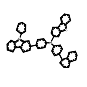 c1ccc(-n2c3ccccc3c3ccc(-c4ccc(N(c5ccc(-c6cccc7ccccc67)cc5)c5ccc6c(c5)sc5ccccc56)cc4)cc32)cc1